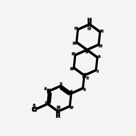 ClC1=NC=C(CN2CCC3(CCNCC3)CC2)CN1